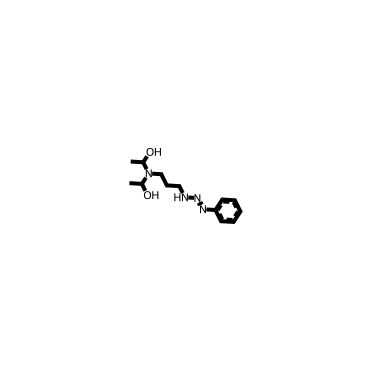 CC(O)N(CCCNN=Nc1ccccc1)C(C)O